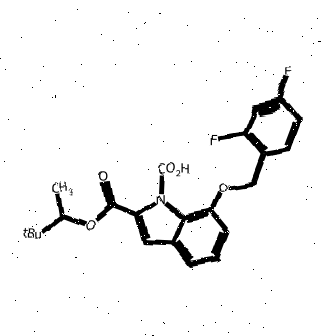 CC(OC(=O)c1cc2cccc(OCc3ccc(F)cc3F)c2n1C(=O)O)C(C)(C)C